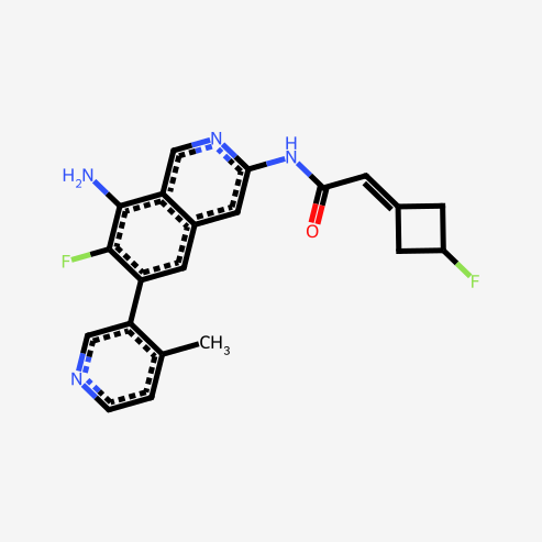 Cc1ccncc1-c1cc2cc(NC(=O)C=C3CC(F)C3)ncc2c(N)c1F